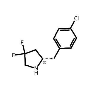 FC1(F)CN[C@@H](Cc2ccc(Cl)cc2)C1